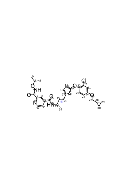 CC(C)ONC(=O)c1cc(C(=O)N[C@@H](C)/C=C/c2cnc(Oc3ccc(OCC4CC4)cc3Cl)s2)ccn1